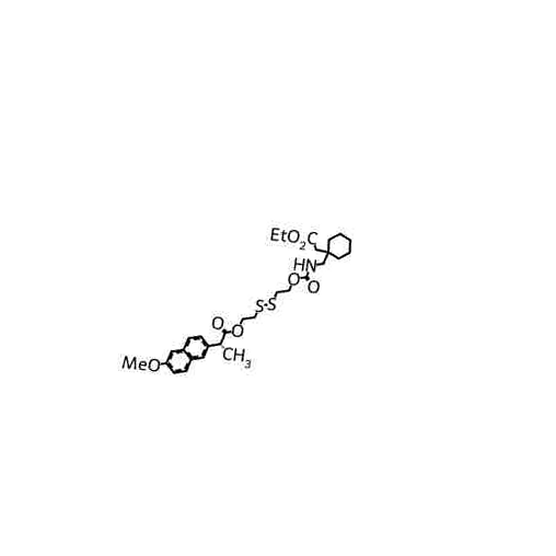 CCOC(=O)CC1(CNC(=O)OCCSSCCOC(=O)[C@H](C)c2ccc3cc(OC)ccc3c2)CCCCC1